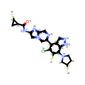 O=C(Nc1cn2cc(-c3c(Cl)c(F)c(N4CCC(F)C4)c4[nH]ncc34)ncc2n1)C1CC1F